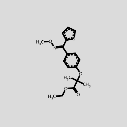 CCOC(=O)C(C)(C)Oc1ccc(C(=NOC)c2cccs2)cc1